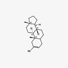 C[C@@]12CCC[C@H]1[C@@H]1CCC3CC=C(C#N)C[C@]3(C)[C@H]1CC2